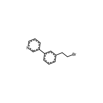 BrCCc1cccc(-c2cccnc2)c1